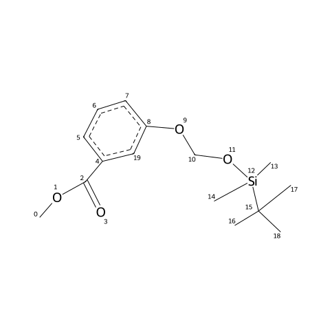 COC(=O)c1cccc(OCO[Si](C)(C)C(C)(C)C)c1